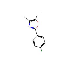 [CH2]Cc1nc(-c2ccc(Cl)cc2)oc1C